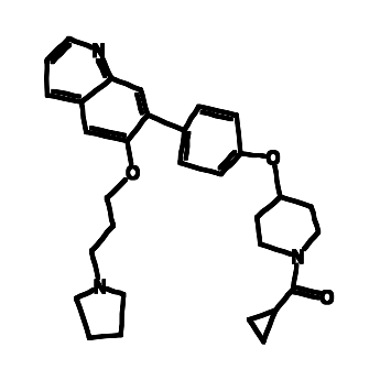 O=C(C1CC1)N1CCC(Oc2ccc(-c3cc4ncccc4cc3OCCCN3CCCC3)cc2)CC1